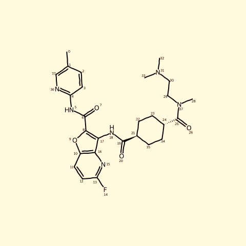 Cc1ccc(NC(=O)c2oc3ccc(F)nc3c2NC(=O)[C@H]2CC[C@H](C(=O)N(C)CCN(C)C)CC2)nc1